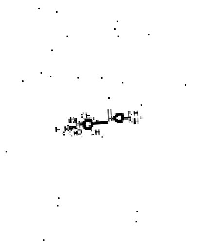 Cc1cc(N(C(=O)C(C)(N)C(=O)O)C(C)C)c(C)cc1C#CCNc1ccc(C(=N)N)cc1